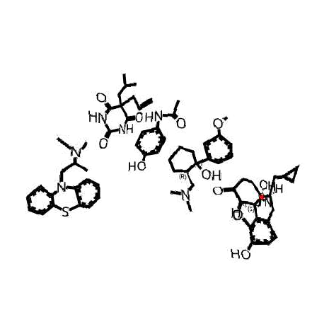 C=CCC1(CC(C)C)C(=O)NC(=O)NC1=O.CC(=O)Nc1ccc(O)cc1.CC(CN1c2ccccc2Sc2ccccc21)N(C)C.COc1cccc([C@@]2(O)CCCC[C@@H]2CN(C)C)c1.O=C1CC[C@@]2(O)[C@H]3Cc4ccc(O)c5c4[C@@]2(CCN3CC2CC2)[C@H]1O5